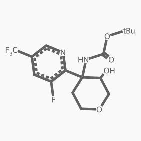 CC(C)(C)OC(=O)NC1(c2ncc(C(F)(F)F)cc2F)CCOCC1O